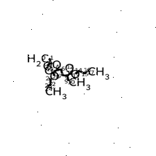 C=CC(=O)OC(CCC(CC)C(=O)OCCCC)C(=O)OCCCC